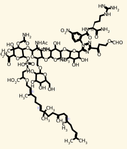 C=C(C/C=C(\C)CCC=C(C)C)CCC(C)(C)/C=C/CC/C(C)=C/COC(COP(=O)(O)OC1OC(C(N)=O)C(C)(O)C(OC(N)=O)C1OC1OC(COC2OC(CO)C(O)C(O)C2O)C(OC2OC(C)C(OC3OC(c4nc(C(=O)CCOC=O)nn4-c4ccc([N+](=O)[O-])cc4C(=O)N[C@@H](CCCNC(=N)N)C(N)=O)C(O)C(O)C3O)C(O)C2NC(C)=O)C(O)C1NC(C)=O)C(=O)O